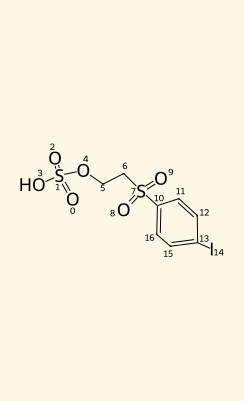 O=S(=O)(O)OCCS(=O)(=O)c1ccc(I)cc1